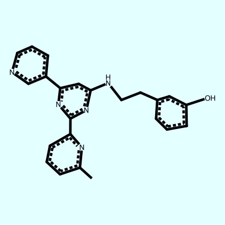 Cc1cccc(-c2nc(NCCc3cccc(O)c3)cc(-c3cccnc3)n2)n1